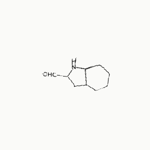 O=[C]C1CC2CCCCC2N1